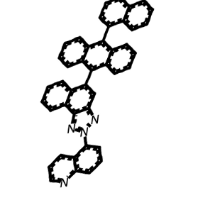 c1ccc2c(-c3c4ccccc4c(-c4cc5nn(-c6cccc7ncccc67)nc5c5ccccc45)c4ccccc34)cccc2c1